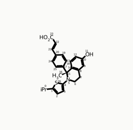 CC(C)c1ccc(N2CCc3cc(O)ccc3[C@@]2(C)c2ccc(C=CC(=O)O)cc2)s1